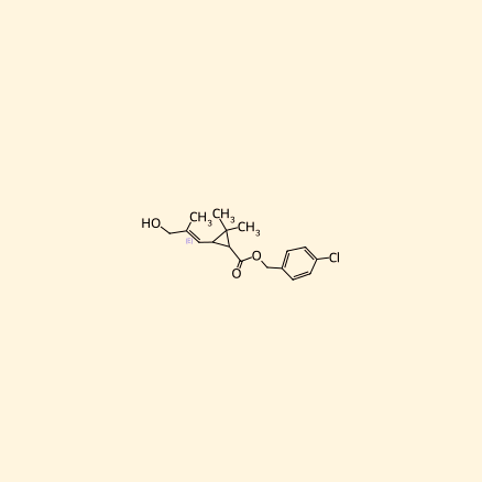 C/C(=C\C1C(C(=O)OCc2ccc(Cl)cc2)C1(C)C)CO